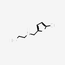 CCc1ccc(CNCCO)s1